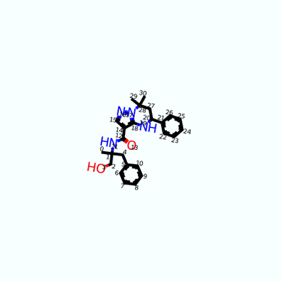 CC(CO)(Cc1ccccc1)NC(=O)c1cnn2c1NC(c1ccccc1)CC2(C)C